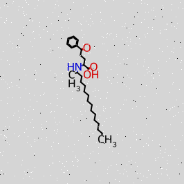 CCCCCCCCCCCCCCC(C)NC(CCC(=O)c1ccccc1)C(=O)O